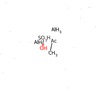 CC(C)=O.O=S(=O)(O)O.[AlH3].[AlH3]